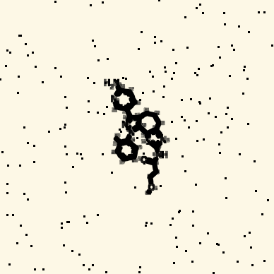 COCCC(=O)Nc1nc2c(s1)-c1c(c(-c3ccc(N)nc3)nn1-c1ccccc1C)CCC2